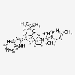 Cc1ccc(C(C)(C)N2CC[C@@](CCc3nc4ncncc4[nH]3)(C3CCC(C)(C)O3)C2)cn1